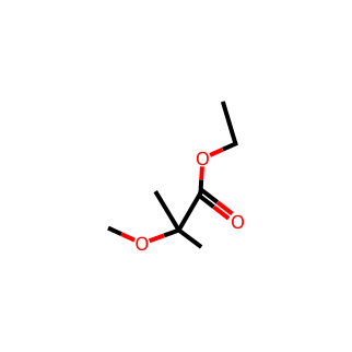 CCOC(=O)C(C)(C)OC